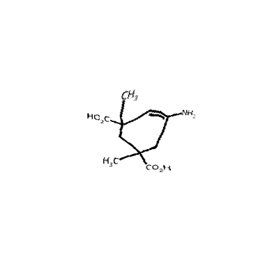 CC1(C(=O)O)C=C(N)CC(C)(C(=O)O)C1